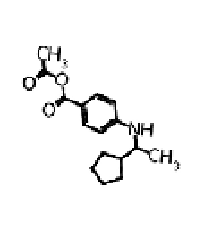 CC(=O)OC(=O)c1ccc(NC(C)C2CCCC2)cc1